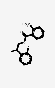 CC(COC(=O)c1ccccc1C(=O)O)c1ccccc1F